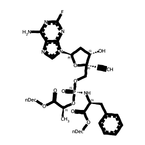 C#C[C@]1(CO[P@@](=O)(N[C@@H](Cc2ccccc2)C(=O)OCCCCCCCCCC)O[C@@H](C)C(=O)OCCCCCCCCCC)O[C@@H](n2cnc3c(N)nc(F)nc32)C[C@@H]1O